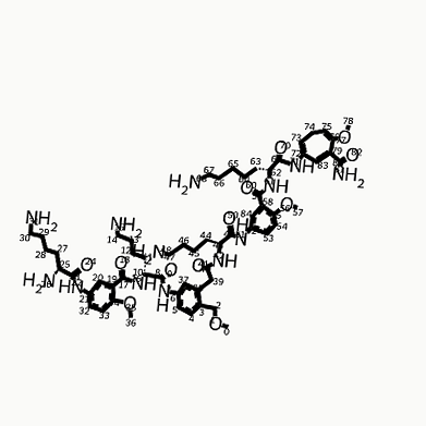 COCc1ccc(NC(=O)[C@@H](CCCCN)NC(=O)c2cc(NC(=O)[C@@H](N)CCCCN)ccc2OC)cc1CC(=O)N[C@@H](CCCCN)C(=O)Nc1ccc(OC)c(C(=O)N[C@H](CCCCCN)C(=O)NC2=CCC=C(OC)C(C(N)=O)=C2)c1